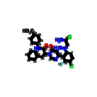 N/C(Cl)=C\N(N)c1ccc(Cl)c(F)c1-c1cc(=O)n(C(Cc2ccccc2)C(=O)Nc2ccc(C(=O)O)cc2)cn1